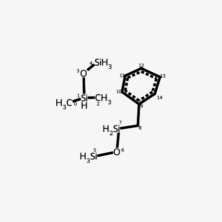 C[SiH](C)O[SiH3].[SiH3]O[SiH2]Cc1ccccc1